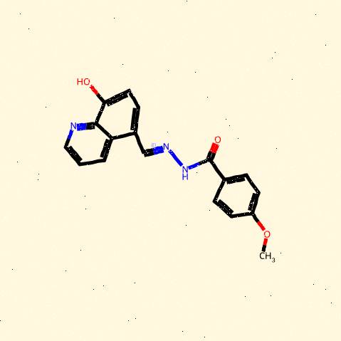 COc1ccc(C(=O)N/N=C/c2ccc(O)c3ncccc23)cc1